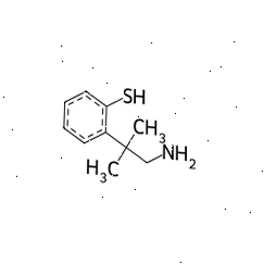 CC(C)(CN)c1ccccc1S